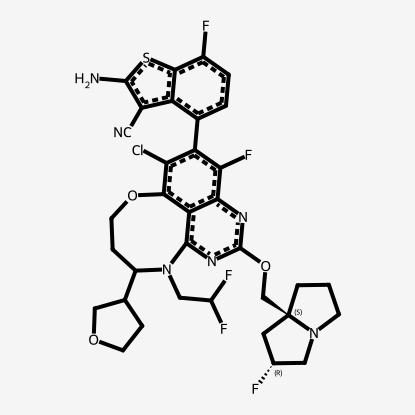 N#Cc1c(N)sc2c(F)ccc(-c3c(Cl)c4c5c(nc(OC[C@@]67CCCN6C[C@H](F)C7)nc5c3F)N(CC(F)F)C(C3CCOC3)CCO4)c12